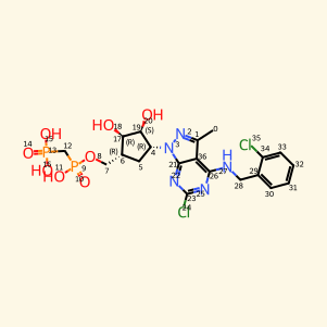 Cc1nn([C@@H]2C[C@H](COP(=O)(O)CP(=O)(O)O)[C@@H](O)[C@H]2O)c2nc(Cl)nc(NCc3ccccc3Cl)c12